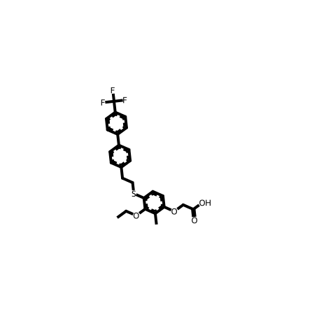 CCOc1c(SCCc2ccc(-c3ccc(C(F)(F)F)cc3)cc2)ccc(OCC(=O)O)c1C